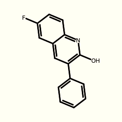 Oc1nc2ccc(F)cc2cc1-c1ccccc1